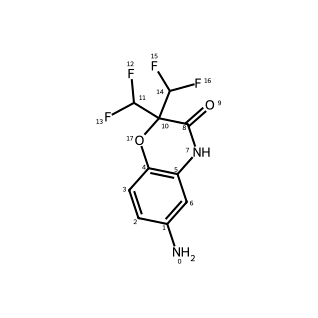 Nc1ccc2c(c1)NC(=O)C(C(F)F)(C(F)F)O2